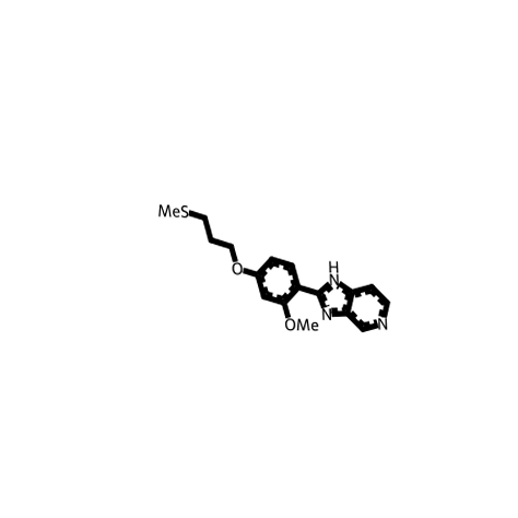 COc1cc(OCCCSC)ccc1-c1nc2cnccc2[nH]1